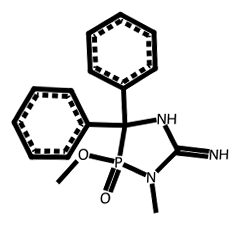 COP1(=O)N(C)C(=N)NC1(c1ccccc1)c1ccccc1